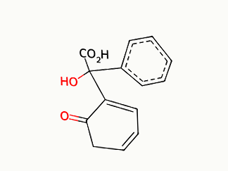 O=C1CC=CC=C1C(O)(C(=O)O)c1ccccc1